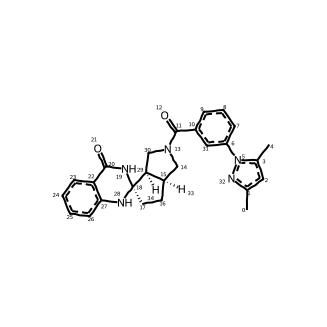 Cc1cc(C)n(-c2cccc(C(=O)N3C[C@H]4CC[C@]5(NC(=O)c6ccccc6N5)[C@H]4C3)c2)n1